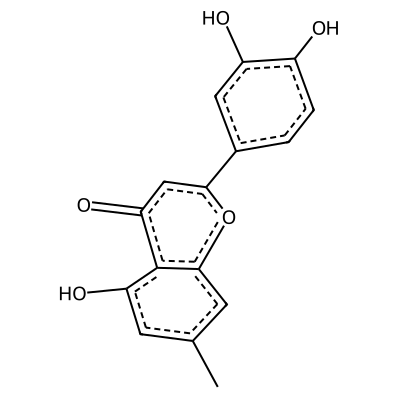 Cc1cc(O)c2c(=O)cc(-c3ccc(O)c(O)c3)oc2c1